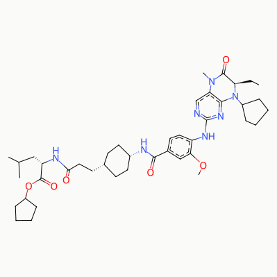 CC[C@@H]1C(=O)N(C)c2cnc(Nc3ccc(C(=O)N[C@H]4CC[C@@H](CCC(=O)N[C@@H](CC(C)C)C(=O)OC5CCCC5)CC4)cc3OC)nc2N1C1CCCC1